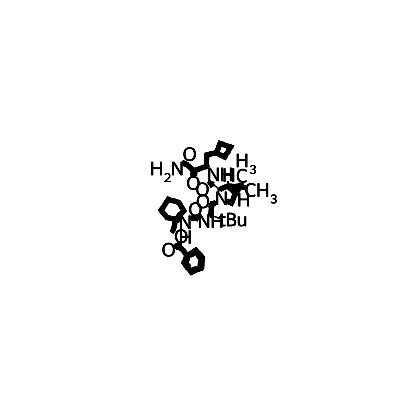 CC(C)(C)[C@H](NC(=O)NC1(COC(=O)c2ccccc2)CCCCC1)C(=O)N1C[C@H]2[C@@H]([C@H]1C(=O)NC(CC1CCC1)C(=O)C(N)=O)C2(C)C